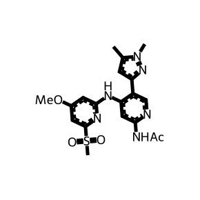 COc1cc(Nc2cc(NC(C)=O)ncc2-c2cc(C)n(C)n2)nc(S(C)(=O)=O)c1